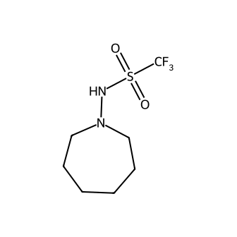 O=S(=O)(NN1CCCCCC1)C(F)(F)F